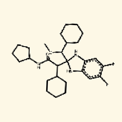 COC(C1CCCCC1)C1(C(C(=O)NC2CCCC2)C2CCCCC2)Nc2cc(F)c(F)cc2N1